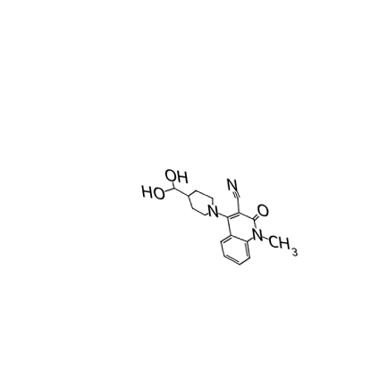 Cn1c(=O)c(C#N)c(N2CCC(C(O)O)CC2)c2ccccc21